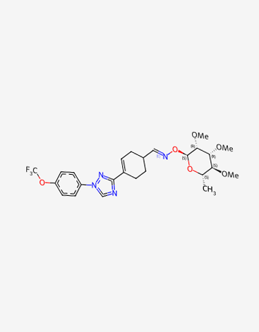 CO[C@@H]1[C@@H](OC)[C@H](C)O[C@@H](O/N=C/C2CC=C(c3ncn(-c4ccc(OC(F)(F)F)cc4)n3)CC2)[C@@H]1OC